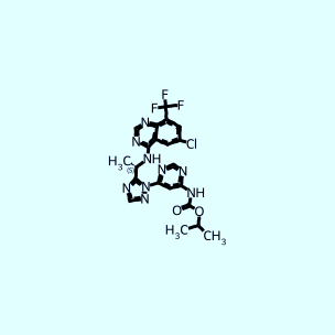 CC(C)OC(=O)Nc1cc(-n2ncnc2[C@H](C)Nc2ncnc3c(C(F)(F)F)cc(Cl)cc23)ncn1